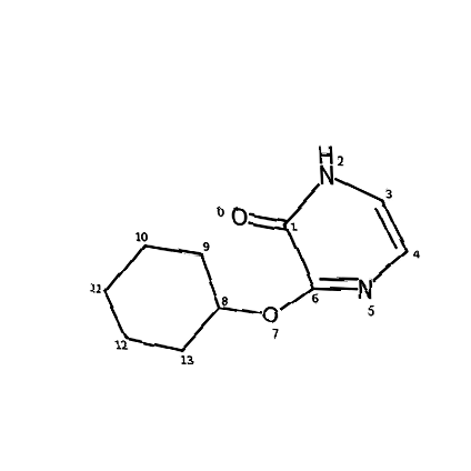 O=c1[nH]ccnc1OC1CCCCC1